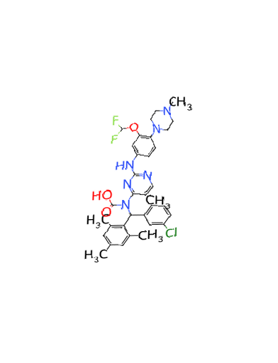 Cc1cc(C)c(C(c2cc(Cl)ccc2C)N(C(=O)O)c2ccnc(Nc3ccc(N4CCN(C)CC4)c(OC(F)F)c3)n2)c(C)c1